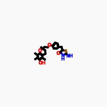 Cc1c(C)c2c(c(C)c1O)CCC(C)(CCOc1ccc(CC3SC(=N)NC3=O)cc1)O2